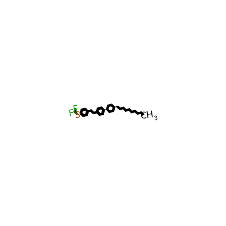 CCCCCCCCCC[C@H]1CC[C@H](c2ccc(CCc3ccc(SC(F)F)cc3)cc2)CC1